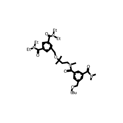 CCN(CC)C(=O)c1cc(COC(C)(C)CCN(C)C(=O)c2cc(COC(C)(C)C)cc(C(=O)N(C)C)c2)cc(C(=O)N(CC)CC)c1